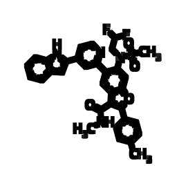 CNC(=O)c1c(-c2ccc(C)cc2)oc2cc(N(CC(F)F)S(C)(=O)=O)c(-c3cc(-c4cc5ccccc5[nH]4)ccn3)cc12